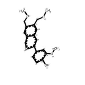 COCc1cc2cnc(-c3ccc(O)c(OC)c3)cc2cc1COC